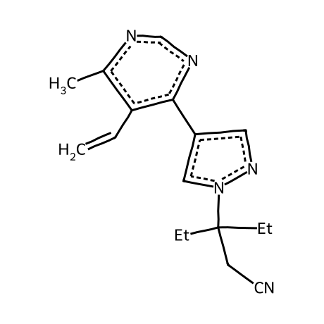 C=Cc1c(C)ncnc1-c1cnn(C(CC)(CC)CC#N)c1